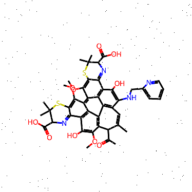 COc1c(O)c2c3c(c(OC)c4c5c(OC)c6c(c7c(O)c(NCc8ccccn8)c8c(c(c1C(C(C)=O)C(C)=C8)c24)c75)=NC(C(=O)O)C(C)(C)S6)SC(C)(C)C(C(=O)O)N=3